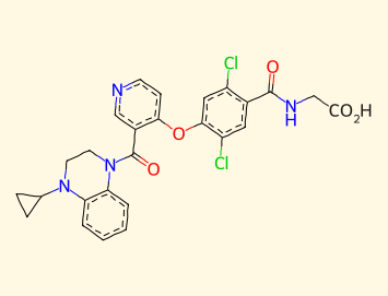 O=C(O)CNC(=O)c1cc(Cl)c(Oc2ccncc2C(=O)N2CCN(C3CC3)c3ccccc32)cc1Cl